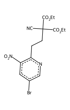 CCOC(=O)C(C#N)(CCc1ncc(Br)cc1[N+](=O)[O-])C(=O)OCC